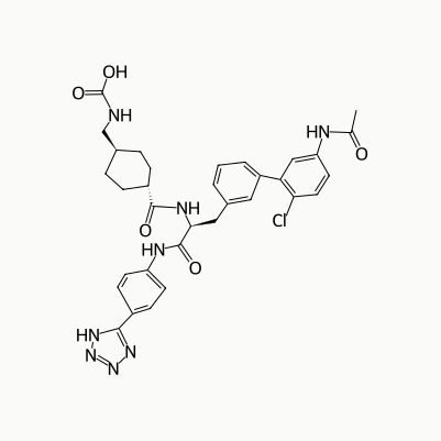 CC(=O)Nc1ccc(Cl)c(-c2cccc(C[C@H](NC(=O)[C@H]3CC[C@H](CNC(=O)O)CC3)C(=O)Nc3ccc(-c4nnn[nH]4)cc3)c2)c1